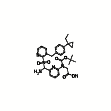 CCC1(c2ccc(Cc3cccnc3S(=O)(=O)C(N)c3cccc(N(CC(=O)O)C(=O)OC(C)(C)C)n3)cc2)CC1